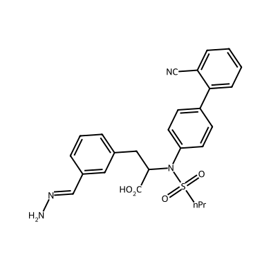 CCCS(=O)(=O)N(c1ccc(-c2ccccc2C#N)cc1)C(Cc1cccc(C=NN)c1)C(=O)O